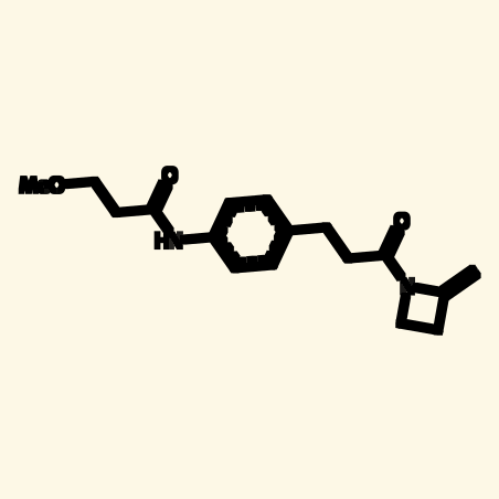 C=C1CCN1C(=O)CCc1ccc(NC(=O)CCOC)cc1